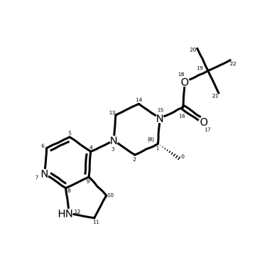 C[C@@H]1CN(c2ccnc3c2CCN3)CCN1C(=O)OC(C)(C)C